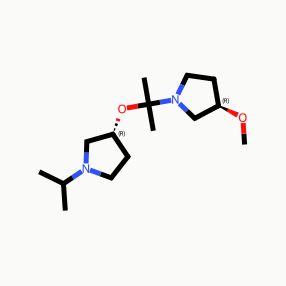 CO[C@@H]1CCN(C(C)(C)O[C@@H]2CCN(C(C)C)C2)C1